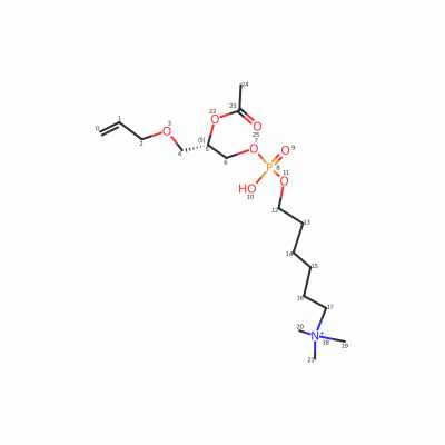 C=CCOC[C@@H](COP(=O)(O)OCCCCCC[N+](C)(C)C)OC(C)=O